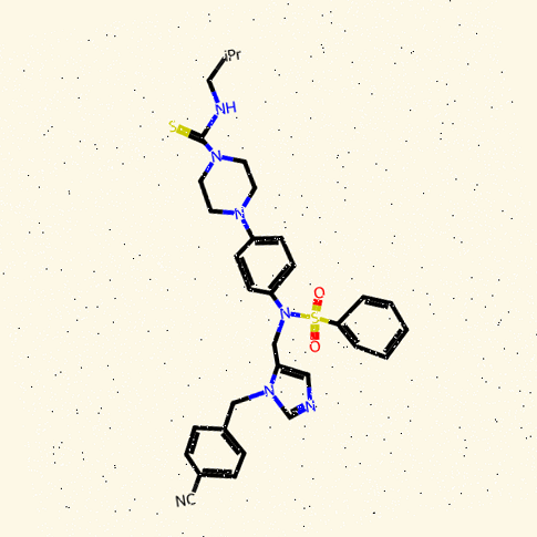 CC(C)CNC(=S)N1CCN(c2ccc(N(Cc3cncn3Cc3ccc(C#N)cc3)S(=O)(=O)c3ccccc3)cc2)CC1